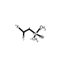 C[Si](C)(Br)CC(F)F